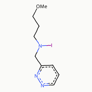 COCCCN(I)Cc1cccnn1